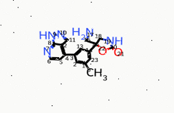 Cc1cc(-c2ccnc3[nH]ncc23)cc(C2(CN)CNC(=O)O2)c1